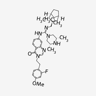 COc1ccc(CCn2cnc3cc(N/C(=N/C[C@@H]4C[C@@H]5CC[C@H]([C@H]4C)C5(C)C)N4C[C@@H](C)N[C@@H](C)C4)ccc3c2=O)c(F)c1